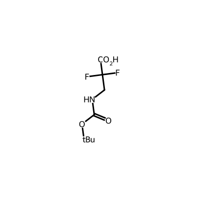 CC(C)(C)OC(=O)NCC(F)(F)C(=O)O